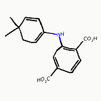 CC1(C)C=CC(Nc2cc(C(=O)O)ccc2C(=O)O)=CC1